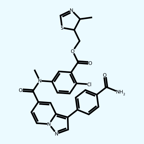 CC1N=CSC1COC(=O)c1cc(N(C)C(=O)c2ccn3ncc(-c4ccc(C(N)=O)cc4)c3c2)ccc1Cl